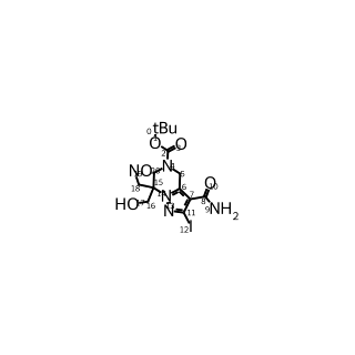 CC(C)(C)OC(=O)N1Cc2c(C(N)=O)c(I)nn2C(CO)(CN=O)C1